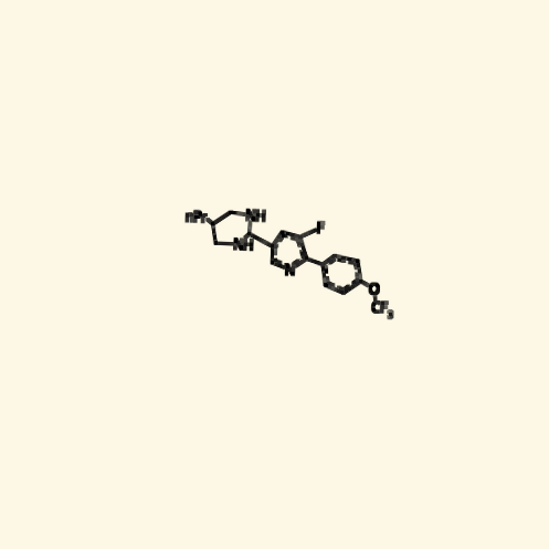 CCCC1CNC(c2cnc(-c3ccc(OC(F)(F)F)cc3)c(F)c2)NC1